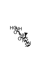 O=C(CCNC(=O)c1nc(-c2nccs2)sc1C1CC1)NO